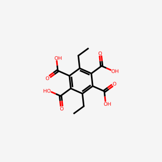 CCc1c(C(=O)O)c(C(=O)O)c(CC)c(C(=O)O)c1C(=O)O